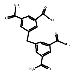 NC(=O)c1cc(Cc2cc(C(N)=O)cc(C(N)=O)c2)cc(C(N)=O)c1